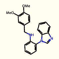 COc1ccc(CNc2ccccc2-n2cnc3ccccc32)cc1OC